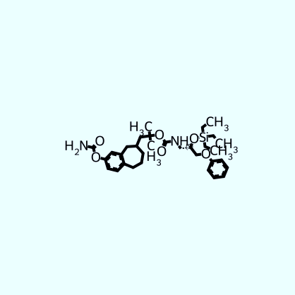 CC[Si](CC)(CC)O[C@@H](CNC(=O)OC(C)(C)CC1CCCc2ccc(OC(N)=O)cc2C1)COc1ccccc1